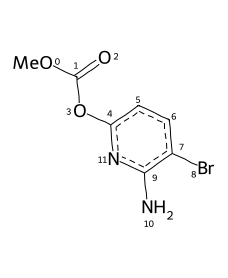 COC(=O)Oc1ccc(Br)c(N)n1